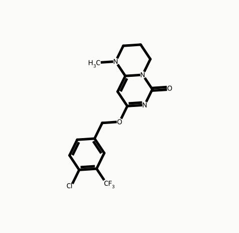 CN1CCCn2c1cc(OCc1ccc(Cl)c(C(F)(F)F)c1)nc2=O